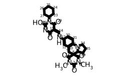 CN1C(=O)N(C)C(=O)C2(Cc3cc(N/C=C4\C(=O)N=C(O)N(C5CCCCC5)C4=O)ccc3N3CCCC32)C1=O